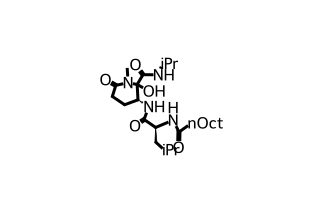 CCCCCCCCC(=O)N[C@@H](CC(C)C)C(=O)N[C@@H]1CCC(=O)N(C)C1(O)C(=O)NC(C)C